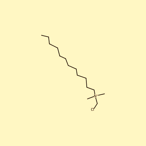 CCCCCCCCCCCC[N+](C)(C)CCl